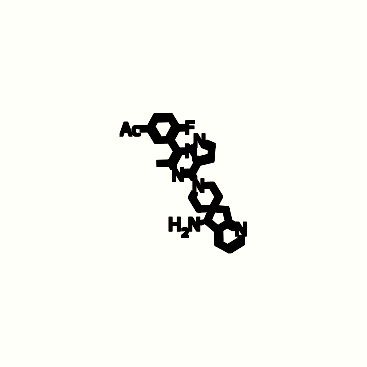 CC(=O)c1ccc(F)c(-c2c(C)nc(N3CCC4(CC3)Cc3ncccc3[C@H]4N)c3ccnn23)c1